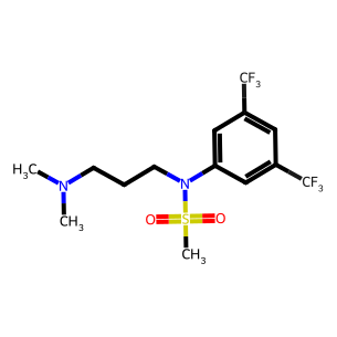 CN(C)CCCN(c1cc(C(F)(F)F)cc(C(F)(F)F)c1)S(C)(=O)=O